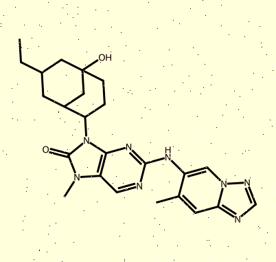 CCC1CC2CC(O)(CCC2n2c(=O)n(C)c3cnc(Nc4cn5ncnc5cc4C)nc32)C1